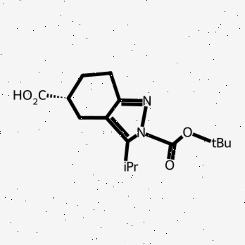 CC(C)c1c2c(nn1C(=O)OC(C)(C)C)CC[C@@H](C(=O)O)C2